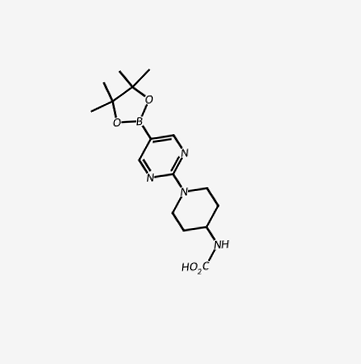 CC1(C)OB(c2cnc(N3CCC(NC(=O)O)CC3)nc2)OC1(C)C